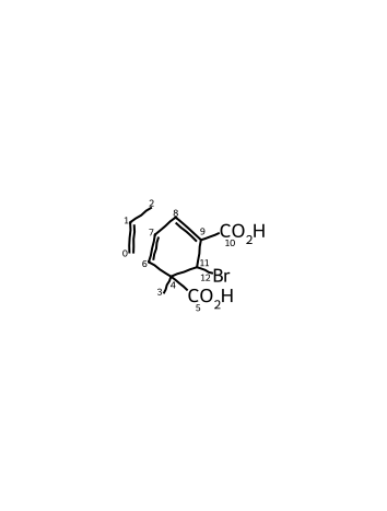 C=CC.CC1(C(=O)O)C=CC=C(C(=O)O)C1Br